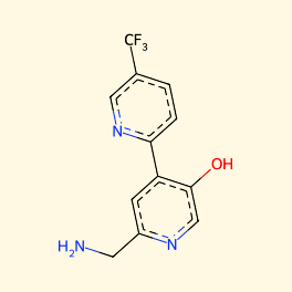 NCc1cc(-c2ccc(C(F)(F)F)cn2)c(O)cn1